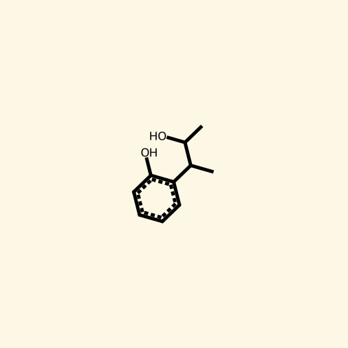 CC(O)C(C)c1ccccc1O